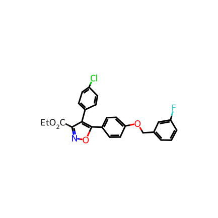 CCOC(=O)c1noc(-c2ccc(OCc3cccc(F)c3)cc2)c1-c1ccc(Cl)cc1